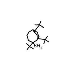 BC1(C(C)(C)C)CCCC2CCC1C(C(C)(C)C)CC2C(C)(C)C